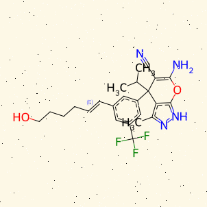 Cc1n[nH]c2c1C(c1cc(/C=C/CCCCO)cc(C(F)(F)F)c1)(C(C)C)C(C#N)=C(N)O2